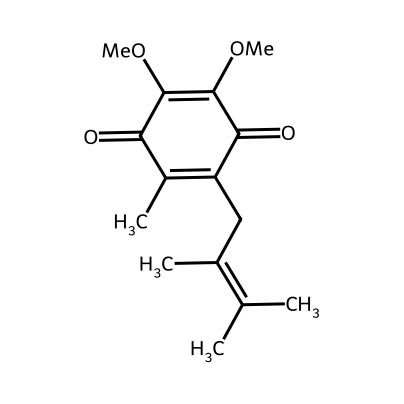 COC1=C(OC)C(=O)C(CC(C)=C(C)C)=C(C)C1=O